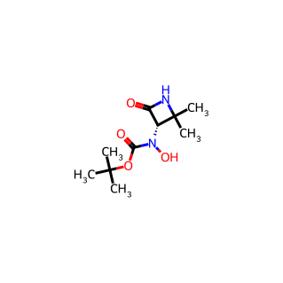 CC(C)(C)OC(=O)N(O)[C@@H]1C(=O)NC1(C)C